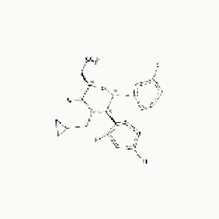 O=C(O)C[C@H]1O[C@H](c2cccc(Cl)c2)[C@@H](c2ccc(Cl)cc2F)N(CC2CC2)C1=O